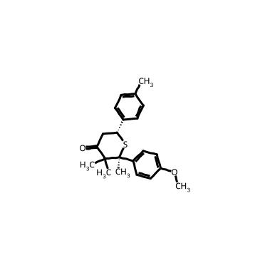 COc1ccc([C@]2(C)S[C@@H](c3ccc(C)cc3)CC(=O)C2(C)C)cc1